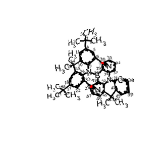 CC(C)(C)c1cc(C#N)c2c(c1)C(C)(C)c1cc(C(C)(C)C)cc(C#N)c1N2B1c2ccccc2N2c3ccccc3C(C)(C)c3cccc1c32